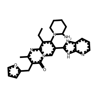 CCc1c(N2CCCCC2N)c(-c2nc3cccnc3[nH]2)cn2c(=O)c(Cc3ccco3)c(C)nc12